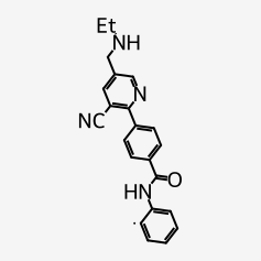 CCNCc1cnc(-c2ccc(C(=O)Nc3[c]cccc3)cc2)c(C#N)c1